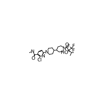 CC(C)[C@](O)(C(=O)N1CCC(C2CCN(c3ccc(C(=O)N(C)C)c(Cl)n3)CC2)CC1)C(F)(F)F